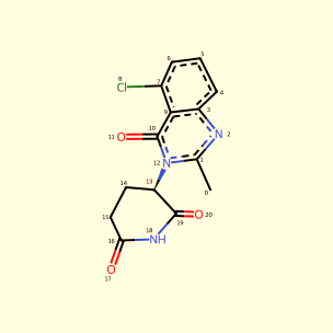 Cc1nc2cccc(Cl)c2c(=O)n1[C@@H]1CCC(=O)NC1=O